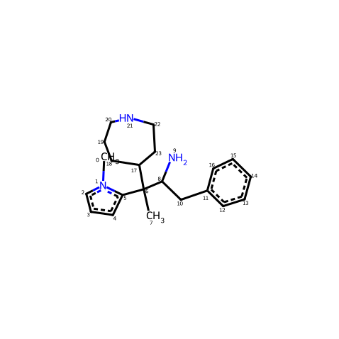 Cn1cccc1C(C)(C(N)Cc1ccccc1)C1CCCNCC1